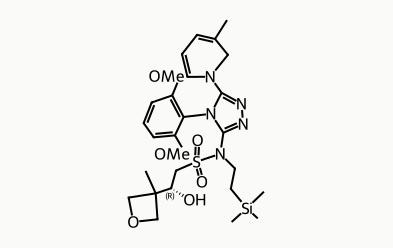 COc1cccc(OC)c1-n1c(N2C=CC=C(C)C2)nnc1N(CC[Si](C)(C)C)S(=O)(=O)C[C@H](O)C1(C)COC1